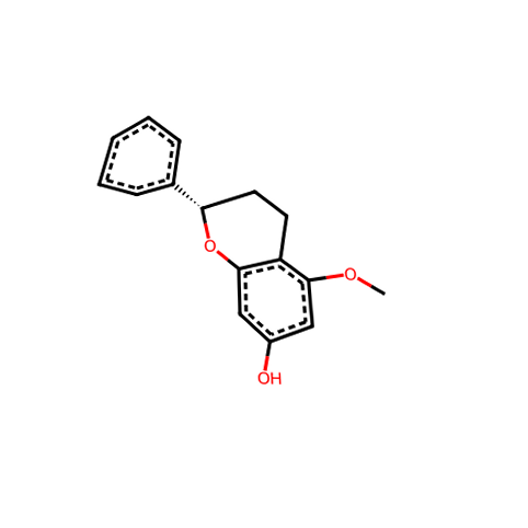 COc1cc(O)cc2c1CC[C@@H](c1ccccc1)O2